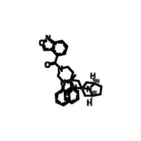 Cc1nc2ccccc2n1C1C[C@H]2CC[C@@H](C1)N2CCC1(c2ccccc2)CCN(C(=O)c2cccc3nocc23)CC1